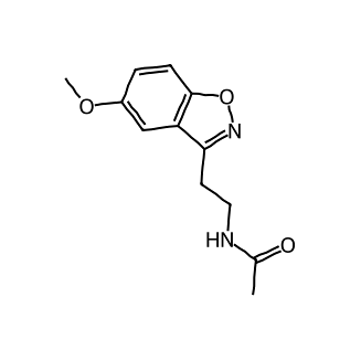 COc1ccc2onc(CCNC(C)=O)c2c1